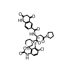 O=C1CC(=O)c2cc(C(=O)N[C@@H](CC(=O)N3CCCC3)C(=O)N3CCC[C@@]4(C3)OC(=O)Nc3ccc(Cl)c(F)c34)ccc2N1